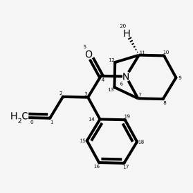 C=CCC(C(=O)N1C2CCC[C@@H]1CC2)c1ccccc1